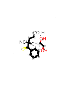 CC(C#N)(CCC(=O)O)C(=S)c1ccccc1.OCCO